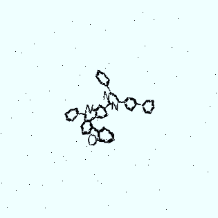 c1ccc(-c2ccc(-c3cc(-c4ccccc4)nc(-c4ccc5c(c4)nc(-c4ccccc4)c4ccc6oc7ccccc7c6c45)n3)cc2)cc1